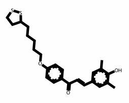 Cc1cc(C=CC(=O)c2ccc(OCCCCCC3CCSS3)cc2)cc(C)c1O